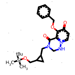 CC(C)(C)[Si](C)(C)OCC1CC1CN1CNn2ccc(=O)c(OCc3ccccc3)c2C1=O